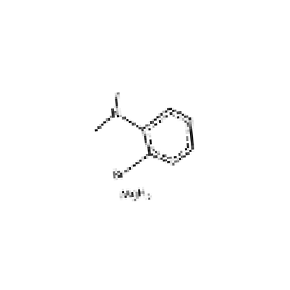 CN(C)c1ccccc1Br.[MgH2]